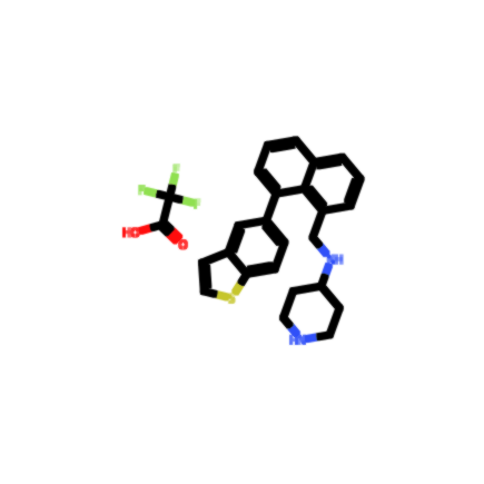 O=C(O)C(F)(F)F.c1cc(CNC2CCNCC2)c2c(-c3ccc4sccc4c3)cccc2c1